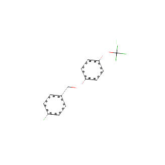 FC(F)(F)Oc1c[c]c(OCc2ccc(Br)cc2)cc1